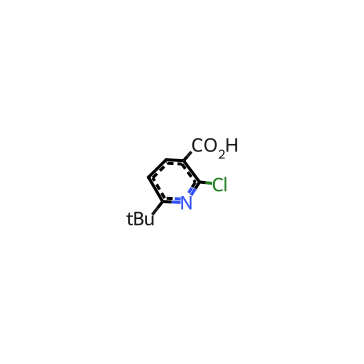 CC(C)(C)c1ccc(C(=O)O)c(Cl)n1